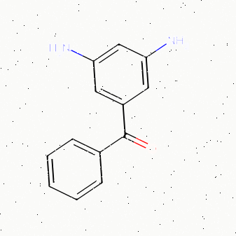 Nc1cc(N)cc(C(=O)c2ccccc2)c1